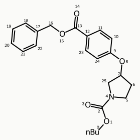 CCCCOC(=O)N1CCC(Oc2ccc(C(=O)OCc3ccccc3)cc2)C1